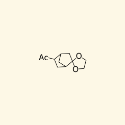 CC(=O)C1CC2CC1CC21OCCO1